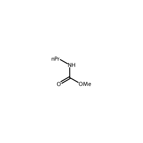 C[CH]CNC(=O)OC